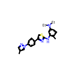 CCN(CC)c1ccc(C)c(Nc2nc(-c3ccc(-n4cc(C)cn4)cc3)cs2)c1